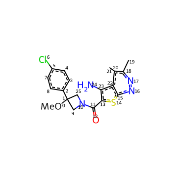 COC1(c2ccc(Cl)cc2)CN(C(=O)c2sc3nnc(C)c(C)c3c2N)C1